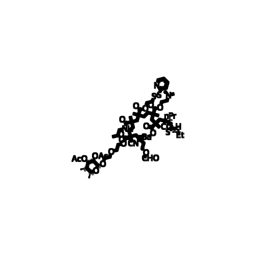 [C-]#[N+]C(C)(CCOC=O)CC(C)(CCC(C)(CC(C)(CCC(C)(CC(C)(CC(CCC)(SC(=S)SCC)C(=O)O)C(=O)OCCCC)C(=O)OCCN(C)C)C(=O)OCCSSc1ccccn1)C(=O)NCC(C)O)C(=O)OCCOCCO[C@@H]1O[C@H](C)[C@H](C)[C@H](OC(C)=O)[C@H]1OC(C)=O